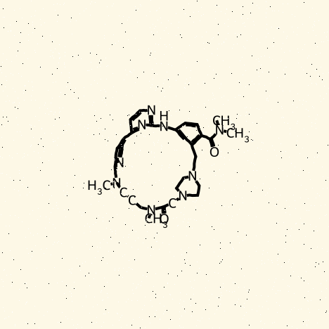 CN(C)C(=O)c1ccc2cc1CN1CCN(CC1)CC(=O)N(C)CCCN(C)c1ccc(cn1)-c1ccnc(n1)N2